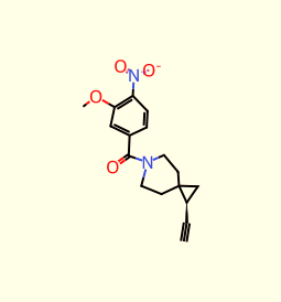 C#C[C@@H]1CC12CCN(C(=O)c1ccc([N+](=O)[O-])c(OC)c1)CC2